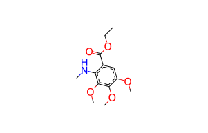 CCOC(=O)c1cc(OC)c(OC)c(OC)c1NC